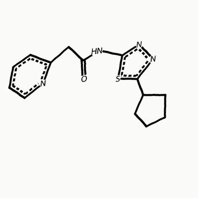 O=C(Cc1ccccn1)Nc1nnc(C2CCCC2)s1